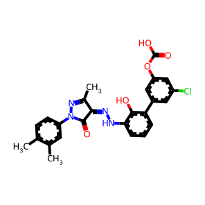 CC1=NN(c2ccc(C)c(C)c2)C(=O)C1=NNc1cccc(-c2cc(Cl)cc(OC(=O)O)c2)c1O